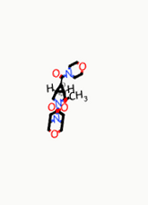 CCOC(=O)N1C2COCC1CC(N1C[C@@H]3[C@H](C1)[C@@H]3C(=O)N1CCOCC1)C2